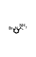 C[C@H](N)c1cccc(Br)n1